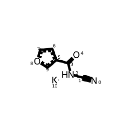 N#CNC(=O)c1ccoc1.[K]